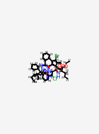 CCCCc1nc(Cl)c(C(=O)N[C@H](C(=O)OCC)[C@@H](C)CC)n1Cc1c2ccocc-2c(Br)c1-c1ccccc1-c1nnn(C(c2ccccc2)(c2ccccc2)c2ccccc2)n1